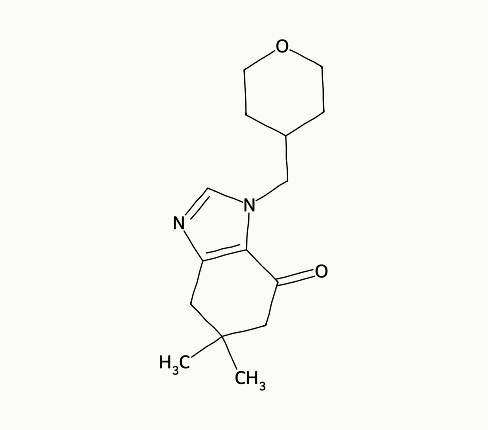 CC1(C)CC(=O)c2c(ncn2CC2CCOCC2)C1